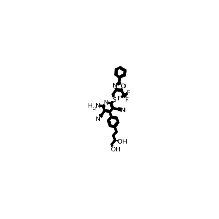 N#Cc1c(N)nc(SCc2nc(-c3ccccc3)oc2C(F)(F)F)c(C#N)c1-c1ccc(CC[C@@H](O)CO)cc1